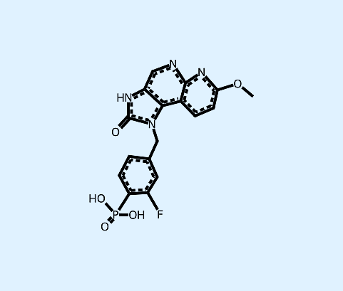 COc1ccc2c(ncc3[nH]c(=O)n(Cc4ccc(P(=O)(O)O)c(F)c4)c32)n1